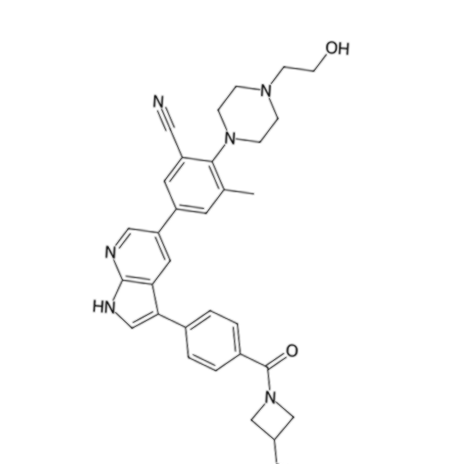 Cc1cc(-c2cnc3[nH]cc(-c4ccc(C(=O)N5CC(O)C5)cc4)c3c2)cc(C#N)c1N1CCN(CCO)CC1